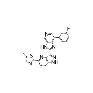 Cc1cnc(-c2ccc3[nH]nc(-c4nc5c(-c6cccc(F)c6)cncc5[nH]4)c3n2)s1